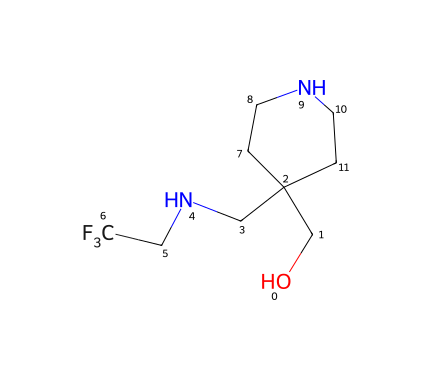 OCC1(CNCC(F)(F)F)CCNCC1